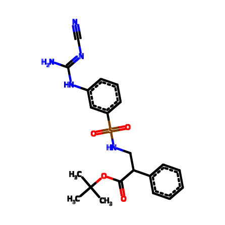 CC(C)(C)OC(=O)C(CNS(=O)(=O)c1cccc(NC(N)=NC#N)c1)c1ccccc1